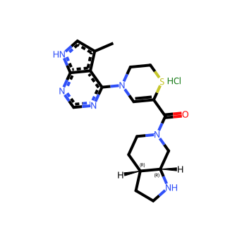 Cc1c[nH]c2ncnc(N3C=C(C(=O)N4CC[C@H]5CCN[C@H]5C4)SCC3)c12.Cl